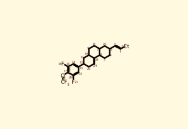 CC/C=C/C1CCC2C(CCC3CC(c4cc(F)c(OC(F)(F)F)c(F)c4)CCC32)C1